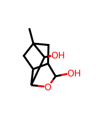 CC12CC3C(O)OC(C3C1)C2O